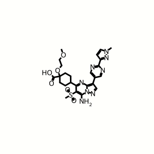 COCCOC1(C(=O)O)CCC(c2nc3c(-c4cnc(-c5ccn(C)n5)nc4)cnn3c(N)c2S(C)(=O)=O)CC1